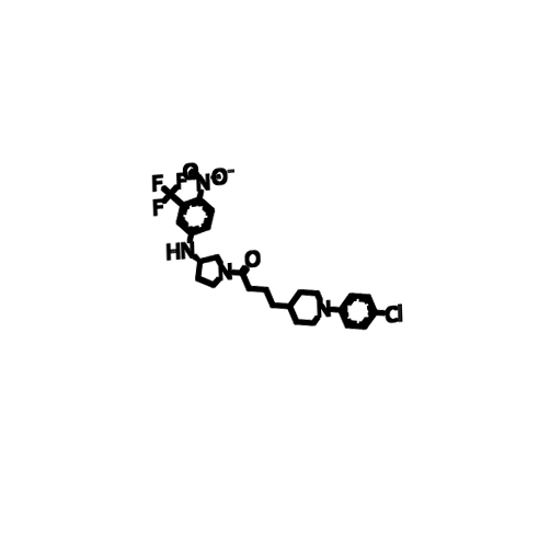 O=C(CCCC1CCN(c2ccc(Cl)cc2)CC1)N1CC[C@@H](Nc2ccc([N+](=O)[O-])c(C(F)(F)F)c2)C1